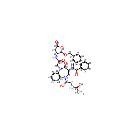 CC(=O)OCC(=O)N1C[C@H](NC(=O)c2ccccc2)C(=O)N(CC(=O)N[C@H]2CC(=O)OC2OCc2ccccc2)c2ccccc21